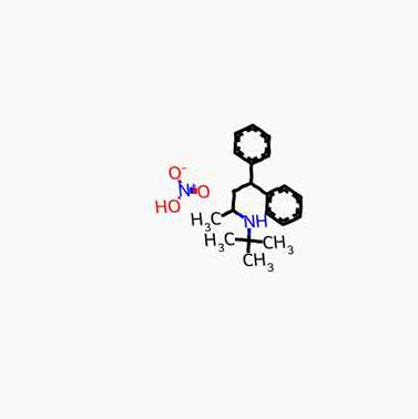 CC(CC(c1ccccc1)c1ccccc1)NC(C)(C)C.O=[N+]([O-])O